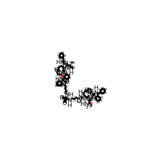 CC[C@H](NC)C(=O)N[C@@H]1C(=O)N2[C@@H](CC[C@@H]1CNC(=O)CCCNc1c(NCCCCNC(=O)C(NC(=O)[C@@H]3CC[C@@H]4CC[C@H](CNCc5ccccc5)[C@H](NC(=O)[C@H](CC)NC)C(=O)N43)(c3ccccc3)c3ccccc3)c(=O)c1=O)CC[C@H]2C(=O)NC(c1ccccc1)c1ccccc1